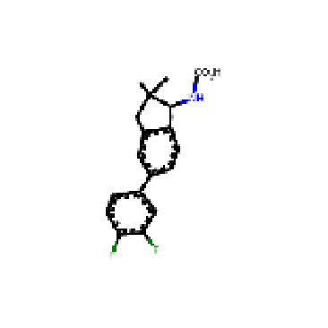 CC1(C)Cc2cc(-c3ccc(F)c(F)c3)ccc2C1NC(=O)O